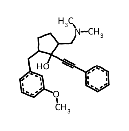 COc1cccc(CC2CCC(CN(C)C)C2(O)C#Cc2ccccc2)c1